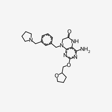 Nc1nc(OCC2CCCO2)nc2c1NC(=O)CN2Cc1cccc(CN2CCCC2)c1